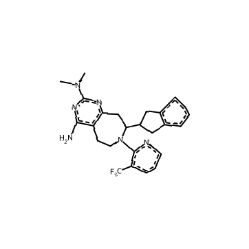 CN(C)c1nc(N)c2c(n1)CC(C1Cc3ccccc3C1)N(c1ncccc1C(F)(F)F)CC2